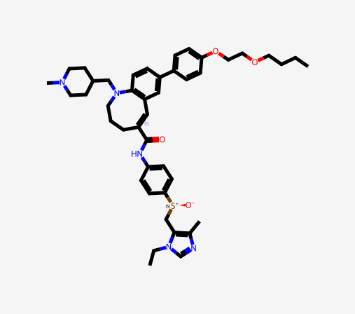 CCCCOCCOc1ccc(-c2ccc3c(c2)/C=C(/C(=O)Nc2ccc([S@+]([O-])Cc4c(C)ncn4CC)cc2)CCCN3CC2CCN(C)CC2)cc1